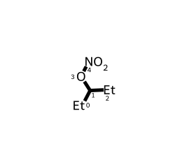 CCC(CC)O[N+](=O)[O-]